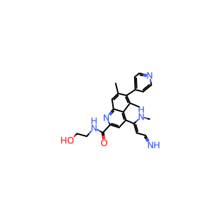 CN/C(=C\C=N)c1cc(C(=O)NCCO)nc2cc(C)c(-c3ccncc3)c(C)c12